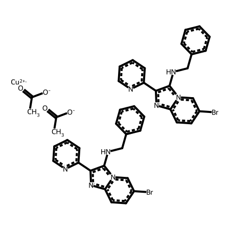 Brc1ccc2nc(-c3ccccn3)c(NCc3ccccc3)n2c1.Brc1ccc2nc(-c3ccccn3)c(NCc3ccccc3)n2c1.CC(=O)[O-].CC(=O)[O-].[Cu+2]